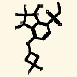 CCS(=O)(=O)c1ccc(OC2CC(F)(F)C2)c2c1[C@H](O)C(F)(F)[C@@H]2F